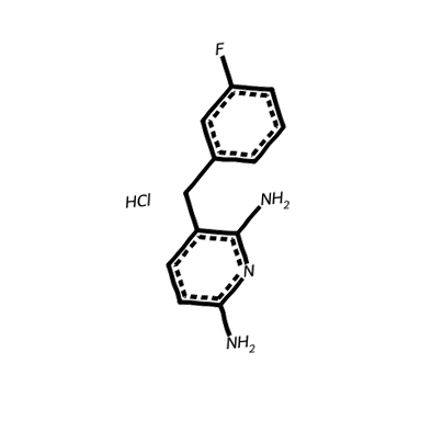 Cl.Nc1ccc(Cc2cccc(F)c2)c(N)n1